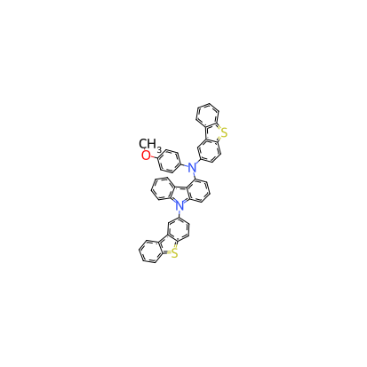 COc1ccc(N(c2ccc3sc4ccccc4c3c2)c2cccc3c2c2ccccc2n3-c2ccc3sc4ccccc4c3c2)cc1